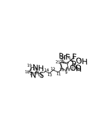 O=P(O)(O)C(F)(F)c1ccc(CCCCSc2ncc[nH]2)cc1Br